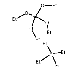 CCO[Si](OCC)(OCC)OCC.CC[Si](CC)(CC)CC